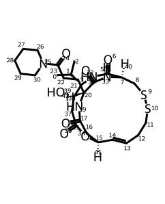 CC(C)[C@H]1NC(=O)[C@H]2CSSCC/C=C/[C@H](CC(=O)N[C@H](CCC(=O)N3CCCCC3)C(=O)N2)OC(=O)C[C@@H]1O